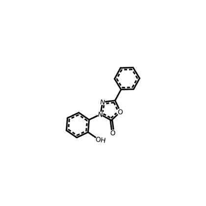 O=c1oc(-c2ccccc2)nn1-c1ccccc1O